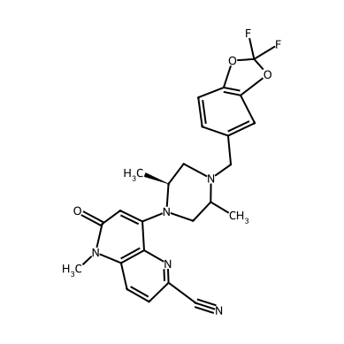 CC1CN(c2cc(=O)n(C)c3ccc(C#N)nc23)[C@@H](C)CN1Cc1ccc2c(c1)OC(F)(F)O2